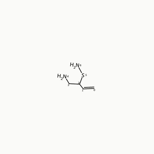 C=CC(CN)SN